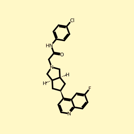 O=C(CN1C[C@H]2C[C@@H](c3ccnc4ccc(F)cc34)C[C@H]2C1)Nc1ccc(Cl)cc1